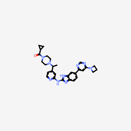 CC(c1ccnc(Nc2nc3ccc(-c4cc(N5CCC5)ncn4)cc3[nH]2)c1)N1CCN(C(=O)C2CC2)CC1